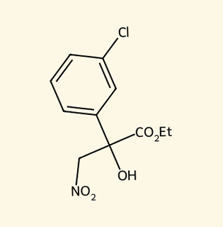 CCOC(=O)C(O)(C[N+](=O)[O-])c1cccc(Cl)c1